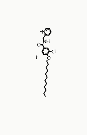 CCCCCCCCCCCCOc1ccc(C(=O)NCc2cccc[n+]2C)cc1Cl.[I-]